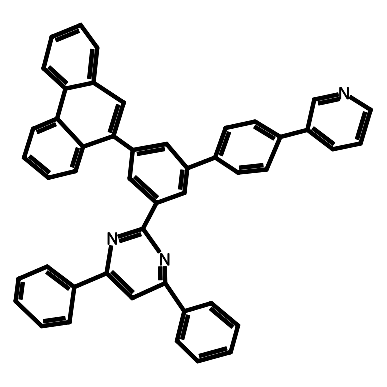 c1ccc(-c2cc(-c3ccccc3)nc(-c3cc(-c4ccc(-c5cccnc5)cc4)cc(-c4cc5ccccc5c5ccccc45)c3)n2)cc1